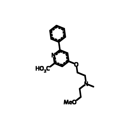 COCCN(C)CCOc1cc(C(=O)O)nc(-c2ccccc2)c1